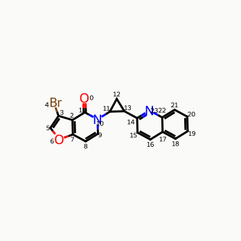 O=c1c2c(Br)coc2ccn1C1CC1c1ccc2ccccc2n1